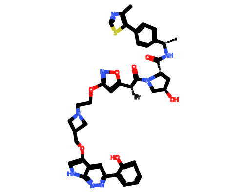 Cc1ncsc1-c1ccc([C@H](C)NC(=O)[C@@H]2C[C@@H](O)CN2C(=O)[C@@H](c2cc(OCCN3CC(COc4c[nH]c5nnc(-c6ccccc6O)cc45)C3)no2)C(C)C)cc1